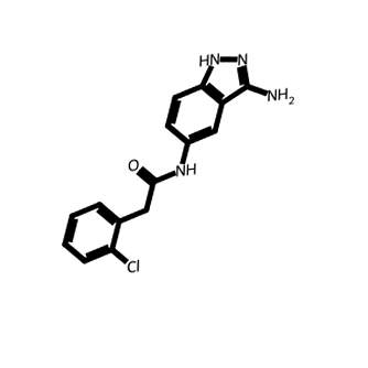 Nc1n[nH]c2ccc(NC(=O)Cc3ccccc3Cl)cc12